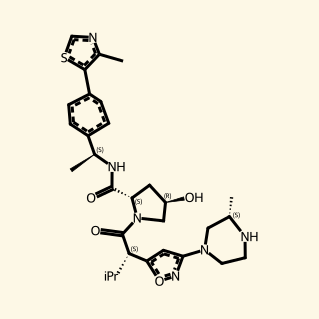 Cc1ncsc1-c1ccc([C@H](C)NC(=O)[C@@H]2C[C@@H](O)CN2C(=O)[C@H](c2cc(N3CCN[C@@H](C)C3)no2)C(C)C)cc1